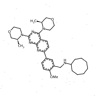 COc1ccc(-c2ccc3c(N4CCOC[C@@H]4C)nc(N4CCOC[C@@H]4C)nc3n2)cc1CNC1CCCCCCC1